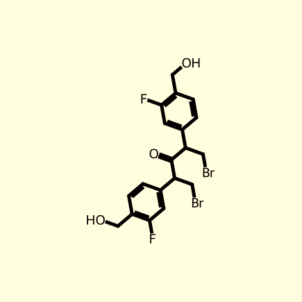 O=C(C(CBr)c1ccc(CO)c(F)c1)C(CBr)c1ccc(CO)c(F)c1